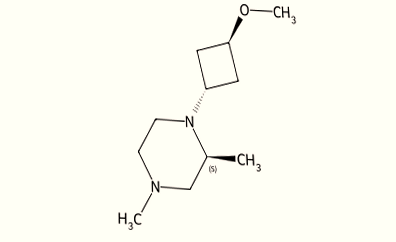 CO[C@H]1C[C@H](N2CCN(C)C[C@@H]2C)C1